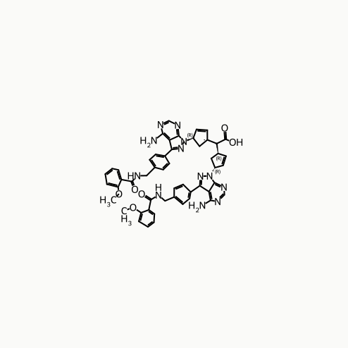 COc1ccccc1C(=O)NCc1ccc(-c2nn([C@H]3C=C[C](C(C(=O)O)[C@H]4C=C[C@H](n5nc(-c6ccc(CNC(=O)c7ccccc7OC)cc6)c6c(N)ncnc65)C4)C3)c3ncnc(N)c23)cc1